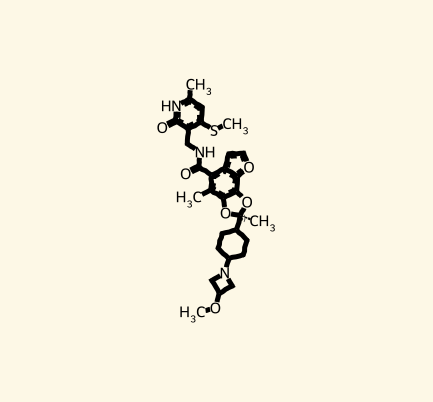 COC1CN(C2CCC([C@@]3(C)Oc4c(C)c(C(=O)NCc5c(SC)cc(C)[nH]c5=O)c5ccoc5c4O3)CC2)C1